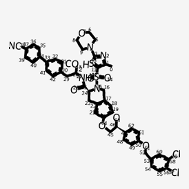 Cc1nc(N2CCOCC2)sc1S(=O)(=O)N1Cc2cc3c(cc2C[C@H]1C(=O)NC(Cc1ccc(-c2ccc(C#N)cc2)cc1)C(=O)O)OC[C@H](c1ccc(OCc2ccc(Cl)c(Cl)c2)cc1)O3